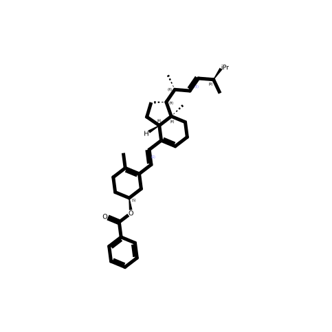 CC1=C(/C=C/C2=CCC[C@]3(C)[C@@H]([C@H](C)/C=C/[C@H](C)C(C)C)CC[C@@H]23)C[C@@H](OC(=O)c2ccccc2)CC1